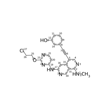 CNc1ncc(C#Cc2cccc(O)c2)c2cc(Nc3ccnc(OCCCl)n3)ncc12